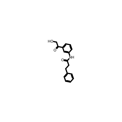 O=C(CCc1ccccc1)Nc1cccc(C(=O)CO)c1